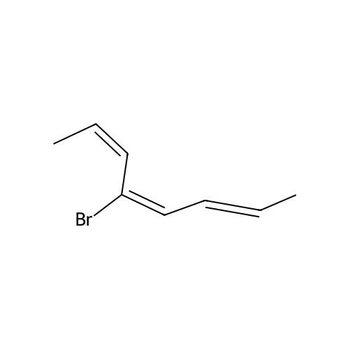 C\C=C/C(Br)=C\C=C\C